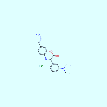 CCN(CC)c1cccc(C(Nc2ccc(C=NN)cc2)C(=O)O)c1.Cl